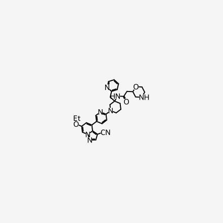 CCOc1cc(-c2ccc(N3CCCC(Cc4ccccn4)(NC(=O)CC4CNCCO4)C3)nc2)c2c(C#N)cnn2c1